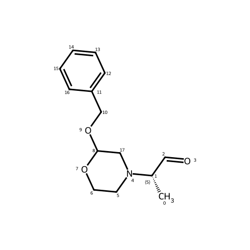 C[C@@H](C=O)N1CCOC(OCc2ccccc2)C1